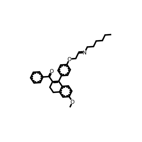 CCCCCCN=CCOc1ccc(C2=C(C(=O)c3ccccc3)CCc3cc(OC)ccc32)cc1